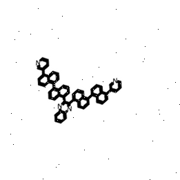 c1cncc(-c2cccc3c(-c4cccc5c(-c6nc7ccccc7nc6-c6cccc7c(-c8cccc9c(-c%10cccnc%10)cccc89)cccc67)cccc45)cccc23)c1